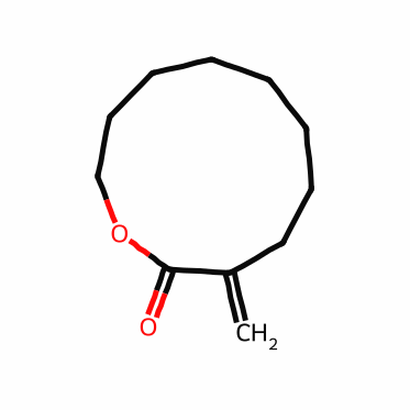 C=C1CCCCCCCCOC1=O